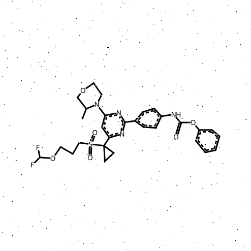 CC1COCCN1c1cc(C2(S(=O)(=O)CCCOC(F)F)CC2)nc(-c2ccc(NC(=O)Oc3ccccc3)cc2)n1